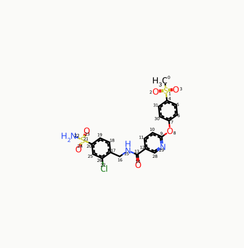 CS(=O)(=O)c1ccc(Oc2ccc(C(=O)NCc3ccc(S(N)(=O)=O)cc3Cl)cn2)cc1